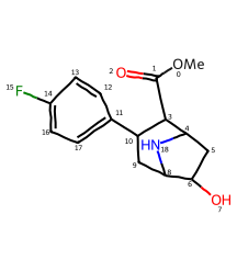 COC(=O)C1C2CC(O)C(CC1c1ccc(F)cc1)N2